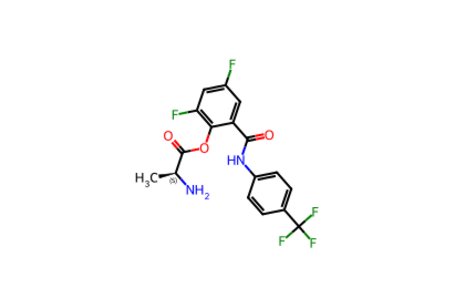 C[C@H](N)C(=O)Oc1c(F)cc(F)cc1C(=O)Nc1ccc(C(F)(F)F)cc1